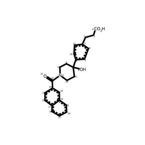 O=C(O)CCc1ccc(C2(O)CCN(C(=O)c3ccc4ccccc4c3)CC2)cc1